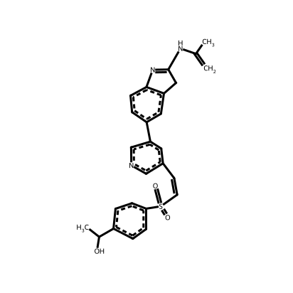 C=C(C)NC1=Nc2ccc(-c3cncc(/C=C\S(=O)(=O)c4ccc(C(C)O)cc4)c3)cc2C1